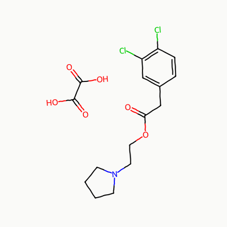 O=C(Cc1ccc(Cl)c(Cl)c1)OCCN1CCCC1.O=C(O)C(=O)O